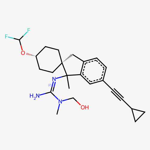 CN(CO)/C(N)=N\C1(C)c2cc(C#CC3CC3)ccc2C[C@]12CC[C@@H](OC(F)F)CC2